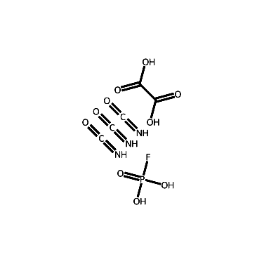 N=C=O.N=C=O.N=C=O.O=C(O)C(=O)O.O=P(O)(O)F